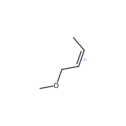 C/C=C\COC